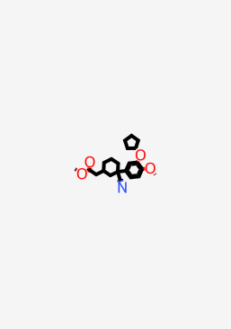 COC(=O)CC1CCCC(C#N)(c2ccc(OC)c(OC3CCCC3)c2)C1